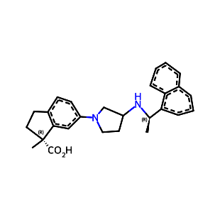 C[C@@H](NC1CCN(c2ccc3c(c2)[C@](C)(C(=O)O)CC3)C1)c1cccc2ccccc12